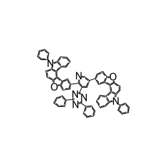 c1ccc(-c2nc(-c3ccccc3)nc(-c3cc(-c4ccc5oc6ccc7c(c8ccccc8n7-c7ccccc7)c6c5c4)cnc3-c3ccc4oc5ccc6c(c7ccccc7n6-c6ccccc6)c5c4c3)n2)cc1